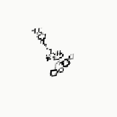 CN1CCN(CCCCC(=O)NNC(=O)N2Cc3ccccc3Oc3ccc(Cl)cc32)CC1